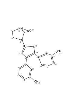 Cc1cccc(-c2nc(N3CCNC3=O)sc2-c2ccnc(C)c2)c1